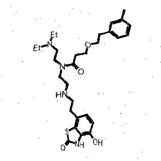 CCN(CC)CCN(CCNCCc1ccc(O)c2[nH]c(=O)sc12)C(=O)CCOCCc1cccc(C)c1